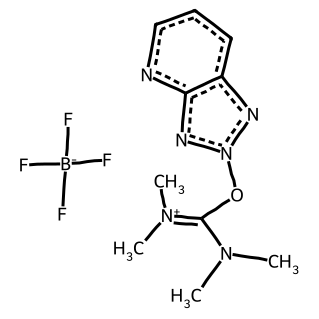 CN(C)C(On1nc2cccnc2n1)=[N+](C)C.F[B-](F)(F)F